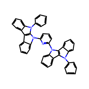 c1ccc(-n2c3ccccc3c3c2c2ccccc2n3-c2cccc(-n3c4ccccc4c4c5ccccc5n(-c5ccccc5)c43)n2)cc1